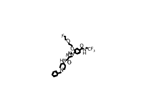 O=C(NCC(F)(F)F)c1ccc(-n2cc(C(=O)NC3CCN(Cc4ccccc4)CC3)nn2)c(OCCOCCF)c1